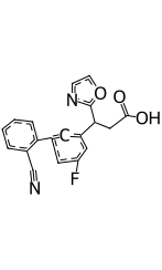 N#Cc1ccccc1-c1cc(F)cc(C(CC(=O)O)c2ncco2)c1